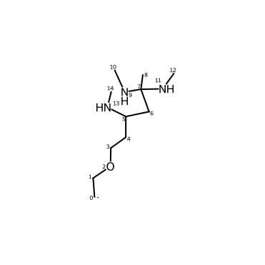 [CH2]COCCC(CC(C)(NC)NC)NC